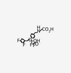 O=C(O)C(F)(F)F.O=C(O)CCNCCc1ccc(OCCc2ccc(F)cc2F)cc1